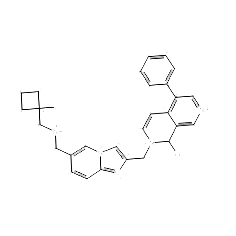 OC1c2cncc(-c3ccccc3)c2C=CN1Cc1cn2cc(CNCC3(F)CCC3)ccc2n1